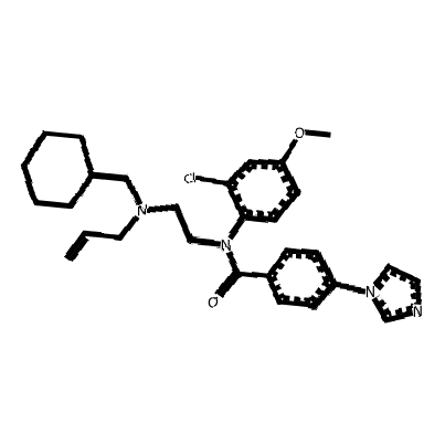 C=CCN(CCN(C(=O)c1ccc(-n2ccnc2)cc1)c1ccc(OC)cc1Cl)CC1CCCCC1